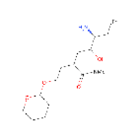 CNC(=O)C(CCOC1CCCCO1)CC(O)[C@@H](N)CC(C)C